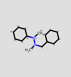 CN(CC1CCCCC1)N(C)C1CCCCC1